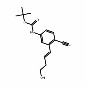 CC(C)(C)OC(=O)Nc1ccc(C#N)c(C=CCCO)c1